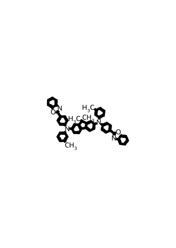 Cc1cccc(N(c2ccc(-c3nc4ccccc4o3)cc2)c2ccc3c(c2)C(C)(C)c2cc(N(c4ccc(-c5nc6ccccc6o5)cc4)c4cccc(C)c4)ccc2-3)c1